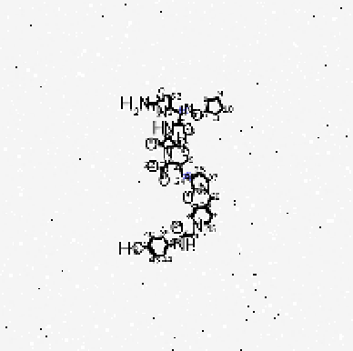 Nc1nc(/C(=N/OC2CCCC2)C(=O)N[C@@H]2C(=O)N3C(C(=O)[O-])=C(/C=C4\CCN(Cc5cc[n+](CC(=O)Nc6ccc(O)cc6)cc5)C4=O)CS[C@H]23)cs1